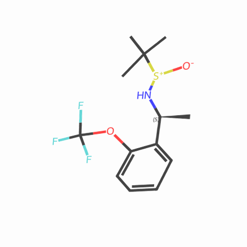 C[C@H](N[S+]([O-])C(C)(C)C)c1ccccc1OC(F)(F)F